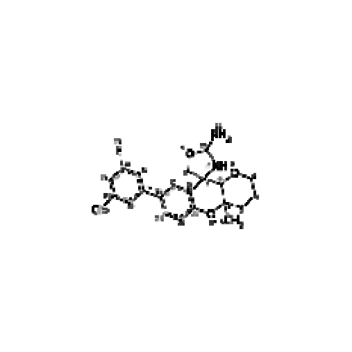 CC12CCCOC1C1(COC(N)N1)c1cc(-c3cc(F)cc(Cl)c3)ccc1O2